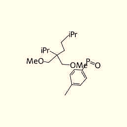 COCC(CCC(C)C)(COC)C(C)C.Cc1ccc(P=O)cc1